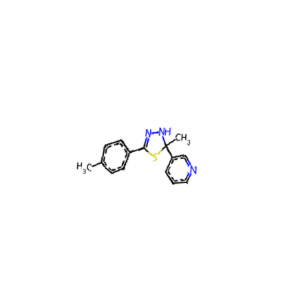 Cc1ccc(C2=NNC(C)(c3cccnc3)S2)cc1